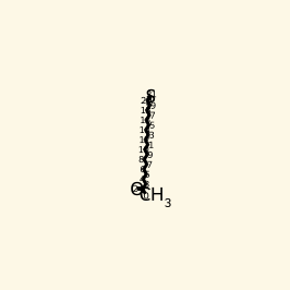 CC(=O)CCCCCCCCCCCCCCCCC[C]=S